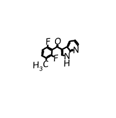 Cc1ccc(F)c(C(=O)c2c[nH]c3ncccc23)c1F